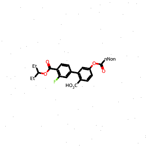 CCCCCCCCCC(=O)Oc1ccc(C(=O)O)c(-c2ccc(C(=O)OC(CC)CC)c(F)c2)c1